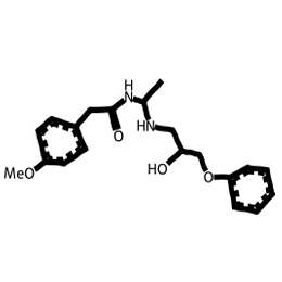 COc1ccc(CC(=O)NC(C)NCC(O)COc2ccccc2)cc1